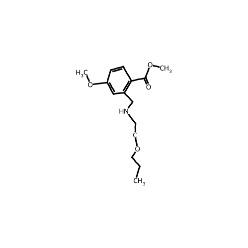 CCCOCCNCc1cc(OC)ccc1C(=O)OC